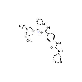 C[C@@H]1CN(/C(=N/C(=N)c2ccc(NC(=O)Nc3cccnc3)cc2)c2ccc[nH]2)C[C@H](C)O1